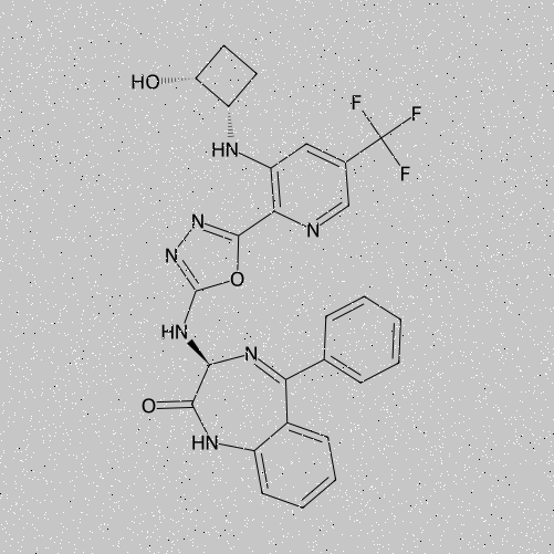 O=C1Nc2ccccc2C(c2ccccc2)=N[C@@H]1Nc1nnc(-c2ncc(C(F)(F)F)cc2N[C@H]2CC[C@H]2O)o1